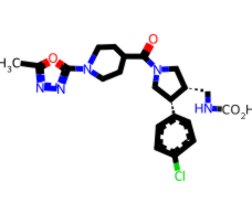 Cc1nnc(N2CCC(C(=O)N3C[C@H](CNC(=O)O)[C@H](c4ccc(Cl)cc4)C3)CC2)o1